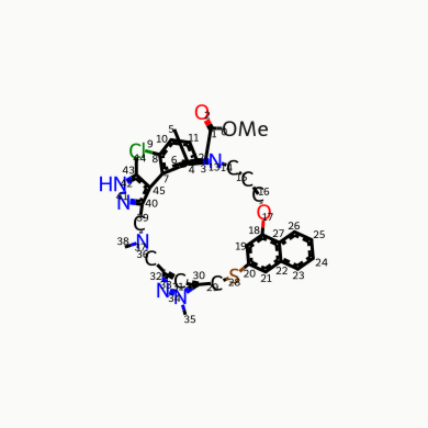 COC(=O)c1c(C)c2c3c(Cl)ccc2n1CCCOc1cc(cc2ccccc12)SCc1cc(nn1C)CN(C)Cc1n[nH]c(C)c1-3